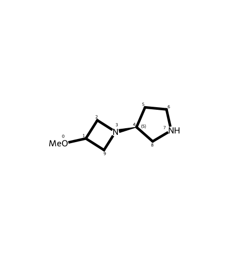 COC1CN([C@H]2CCNC2)C1